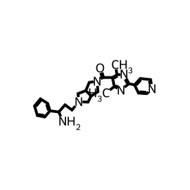 Cc1nc(-c2ccncc2)nc(C)c1C(=O)N1CC2CN(CCC(N)c3ccccc3)CC2C1